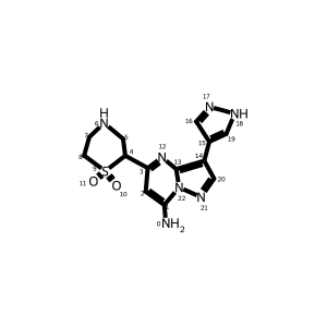 Nc1cc(C2CNCCS2(=O)=O)nc2c(-c3cn[nH]c3)cnn12